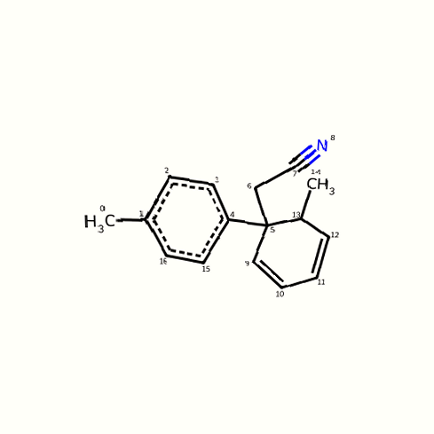 Cc1ccc(C2(CC#N)C=CC=CC2C)cc1